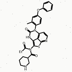 CCC(=O)N(C(=O)C1CCCNC1)c1sc2nccc3c2c1NC(=O)N3c1ccc(Oc2ccccc2)cc1C